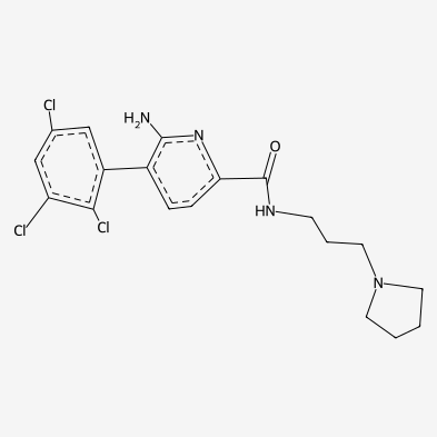 Nc1nc(C(=O)NCCCN2CCCC2)ccc1-c1cc(Cl)cc(Cl)c1Cl